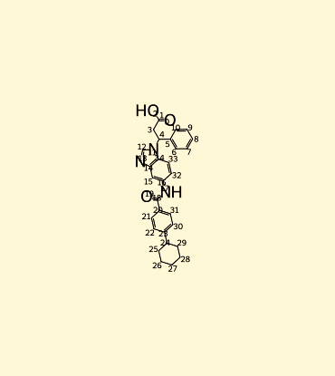 O=C(O)CC(c1ccccc1)n1cnc2cc(NC(=O)c3ccc(C4CCCCC4)cc3)ccc21